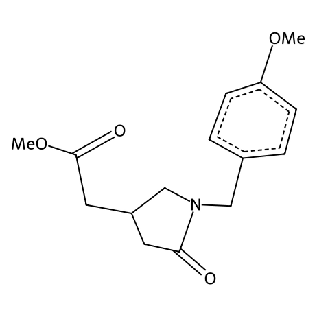 COC(=O)CC1CC(=O)N(Cc2ccc(OC)cc2)C1